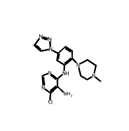 CN1CCN(c2ccc(-n3c[c]nn3)cc2Nc2ncnc(Cl)c2N)CC1